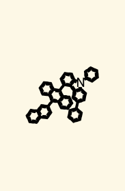 c1ccc(-c2ccc3c(c2)c2c(-c4c5ccccc5c(-c5ccc6ccccc6c5)c5ccccc45)cccc2n3-c2ccccc2)cc1